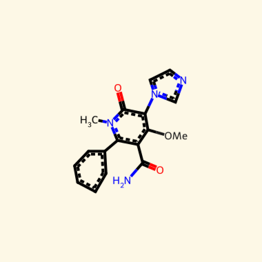 COc1c(C(N)=O)c(-c2ccccc2)n(C)c(=O)c1-n1ccnc1